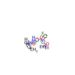 CCN(CC)C(=O)C1CCN(C(=O)c2ccc(NC(=O)NC34CC5C[C@@](C)(C3)C[C@](C)(C5)C4)c(F)c2)C(c2cccc(F)c2)C1